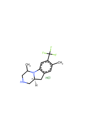 Cc1cc2c(cc1C(F)(F)F)N1C(C)CNC[C@@H]1C2.Cl